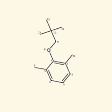 Cc1cccc(C)c1OCC(C)(C)C